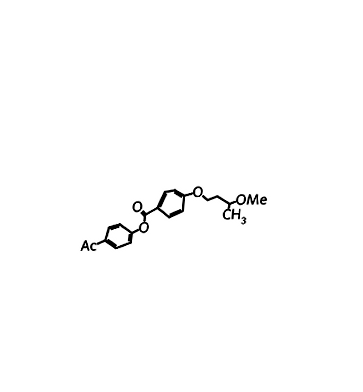 COC(C)CCOc1ccc(C(=O)Oc2ccc(C(C)=O)cc2)cc1